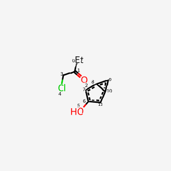 CCC(=O)CCl.Oc1cc2cc-2c1